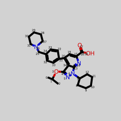 CC(C)Oc1nn(C2CCCCC2)c2nc(C(=O)O)cc(-c3ccc(CN4CCCCC4)cc3)c12